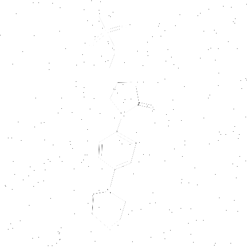 CS(=O)(=O)OC[C@H]1CN(c2ccc(N3CCSCC3)cc2)C(=O)O1